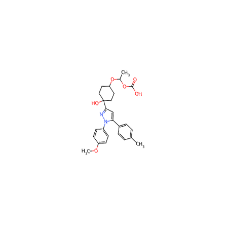 COc1ccc(-n2nc(C3(O)CCC(OC(C)OC(=O)O)CC3)cc2-c2ccc(C)cc2)cc1